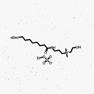 CCCCCCCCCCCCCCCCCC(=O)NCCC[N+](C)(C)CCO.CCOS(=O)(=O)[O-]